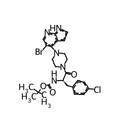 CC(C)(C)OC(=O)N[C@H](Cc1ccc(Cl)cc1)C(=O)N1CCN(c2c(Br)cnc3[nH]ccc23)CC1